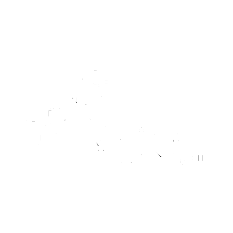 COC(=O)C[C@@H]1COc2cc(O[C@@H]3CCc4c3ccc(C(F)(F)F)c4CN3CCC(F)(F)CC3)ccc21